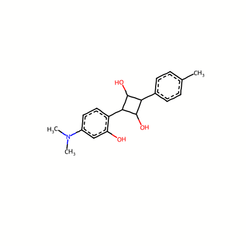 Cc1ccc(C2C(O)C(c3ccc(N(C)C)cc3O)C2O)cc1